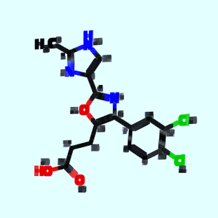 Cc1nc(-c2nc(-c3ccc(Cl)c(Cl)c3)c(CCC(=O)O)o2)c[nH]1